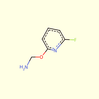 NCOc1cccc(F)n1